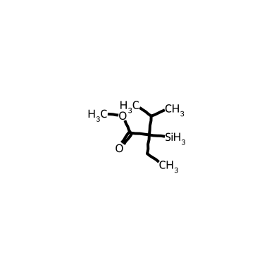 CCC([SiH3])(C(=O)OC)C(C)C